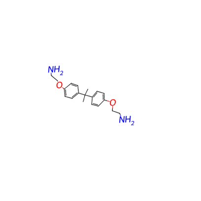 CC(C)(c1ccc(OCCN)cc1)c1ccc(OCCN)cc1